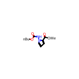 CCCCOC(=O)Nn1cccc1C(=O)OC